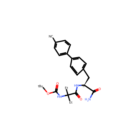 CCC(CC)(NC(=O)OC(C)(C)C)C(=O)N[C@@H](Cc1ccc(-c2ccc(C#N)cc2)cc1)C(N)=O